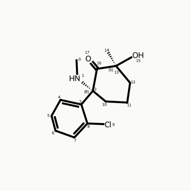 CN[C@@]1(c2ccccc2Cl)CCC[C@](C)(O)C1=O